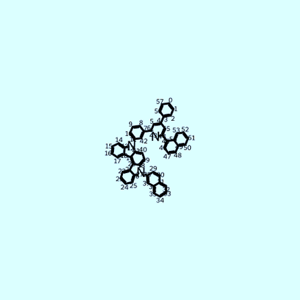 c1ccc(-c2cc(-c3cccc(-n4c5ccccc5c5c6c7ccccc7n(-c7ccc8ccccc8c7)c6ccc54)c3)nc(-c3cccc4ccccc34)c2)cc1